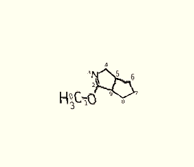 COC1=NCC2CCCC12